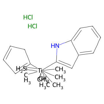 Cl.Cl.[CH3][Ti]([CH3])([CH3])([CH3])([CH3])([CH3])([CH3])(=[SiH2])([C]1=CC=CC1)[c]1cc2ccccc2[nH]1